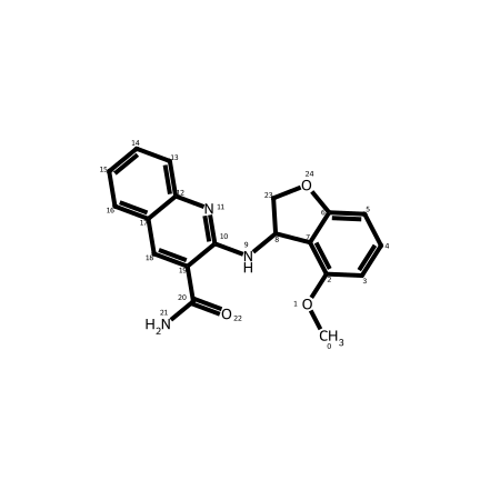 COc1cccc2c1C(Nc1nc3cc[c]cc3cc1C(N)=O)CO2